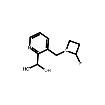 OC(O)c1ncccc1CN1CCC1F